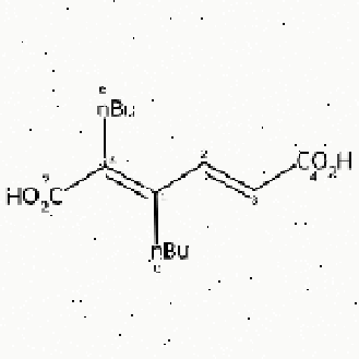 CCCCC(/C=C/C(=O)O)=C(/CCCC)C(=O)O